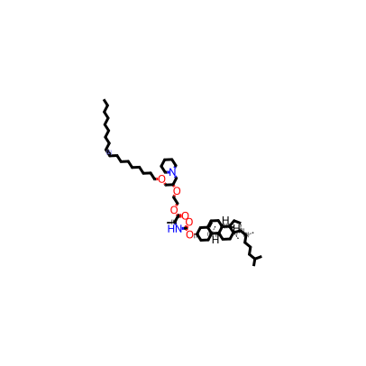 CCCCCCCC/C=C\CCCCCCCCOCC(CN1CCCCC1)OCCOC(=O)[C@H](C)NC(=O)O[C@H]1CC[C@@]2(C)C(=CC[C@H]3[C@@H]4CC[C@H]([C@H](C)CCCC(C)C)[C@@]4(C)CC[C@@H]32)C1